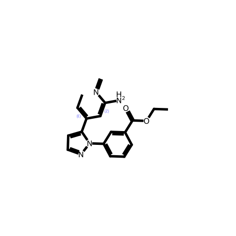 C=N/C(N)=C\C(=C/C)c1ccnn1-c1cccc(C(=O)OCC)c1